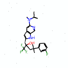 CC(C)N(C)c1cc2cc(CC(O)(CC(C)(C)c3cccc(F)c3)C(F)(F)F)[nH]c2cn1